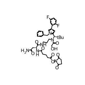 CC(C)(C)[C@H](c1cc(-c2cc(F)ccc2F)cn1Cc1ccccc1)N(CCCNC(=O)[C@H](CC(N)=O)NC(=O)CCCC(=O)ON1C(=O)CCC1=O)C(=O)CO